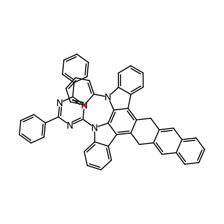 c1ccc(-c2nc(-c3ccccc3)nc(-n3c4ccccc4c4c5c(c6c7ccccc7n(-c7ccccc7)c6c43)Cc3cc4ccccc4cc3C5)n2)cc1